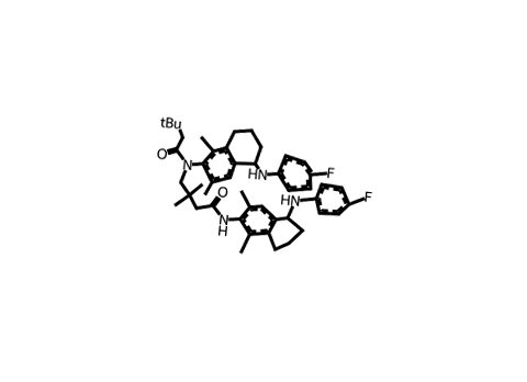 Cc1cc2c(c(C)c1NC(=O)CC(C)(C)CN(C(=O)CC(C)(C)C)c1c(C)cc3c(c1C)CCCC3Nc1ccc(F)cc1)CCCC2Nc1ccc(F)cc1